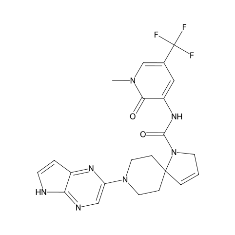 Cn1cc(C(F)(F)F)cc(NC(=O)N2CC=CC23CCN(c2cnc4[nH]ccc4n2)CC3)c1=O